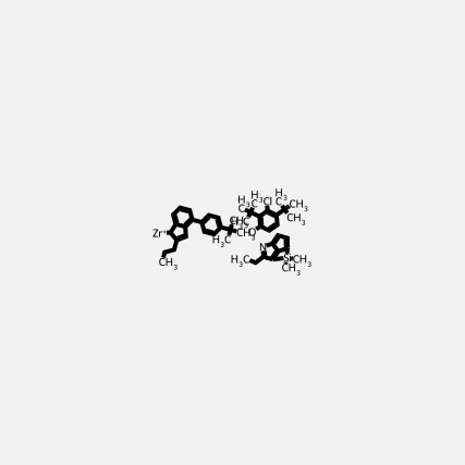 CC(C)(C)c1ccc([O-])c(C(C)(C)C)c1Cl.CCC1=NC2=CC=C3C2=C1[Si]3(C)C.CCCC1=Cc2c(-c3ccc(C(C)(C)C)cc3)cccc2[CH]1[Zr+]